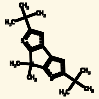 CC(C)(C)c1cc2c(s1)[Si](C)(C)c1sc(C(C)(C)C)cc1-2